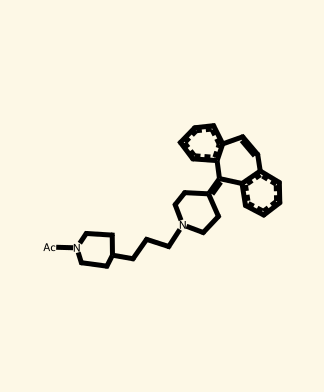 CC(=O)N1CCC(CCCN2CCC(=C3c4ccccc4C=Cc4ccccc43)CC2)CC1